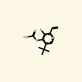 C=Cc1ncc(C(C)(C)C)c(OC(N)=O)c1F